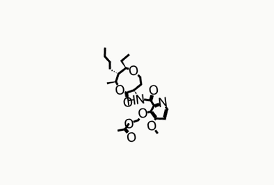 CCCC[C@H]1[C@H](C)OC(=O)[C@@H](NC(=O)c2nccc(OC)c2OCOC(C)=O)CCO[C@@H]1CC